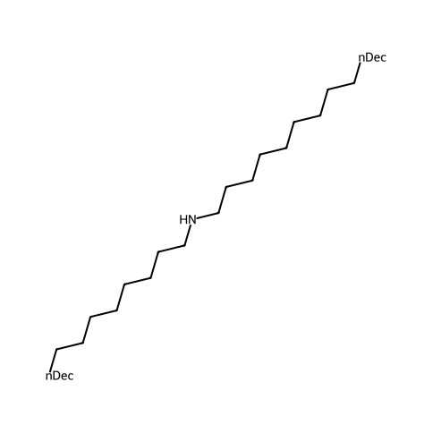 CCCCCCCCCCCCCCCCCCCNCCCCCCCCCCCCCCCCCC